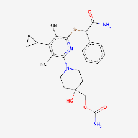 N#Cc1c(SC(C(N)=O)c2ccccc2)nc(N2CCC(O)(COC(N)=O)CC2)c(C#N)c1C1CC1